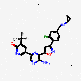 CCC(C#N)(CC)c1cc(-c2cnc(N)c(-c3cc(-c4ccc(CNC5CC5)cc4F)no3)n2)c[nH]c1=O